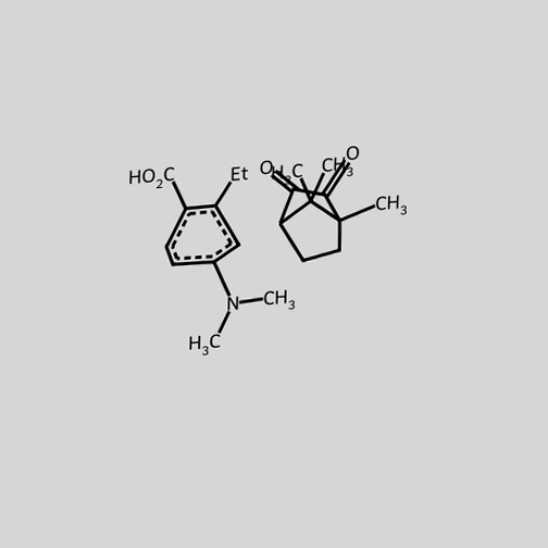 CC12CCC(C(=O)C1=O)C2(C)C.CCc1cc(N(C)C)ccc1C(=O)O